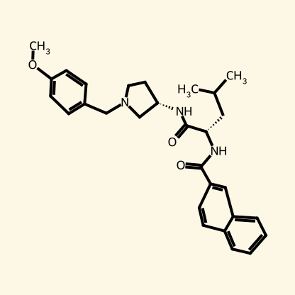 COc1ccc(CN2CC[C@H](NC(=O)[C@H](CC(C)C)NC(=O)c3ccc4ccccc4c3)C2)cc1